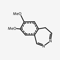 COc1cc2c(cc1OC)CC=NN=C2